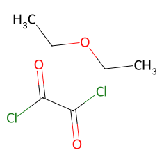 CCOCC.O=C(Cl)C(=O)Cl